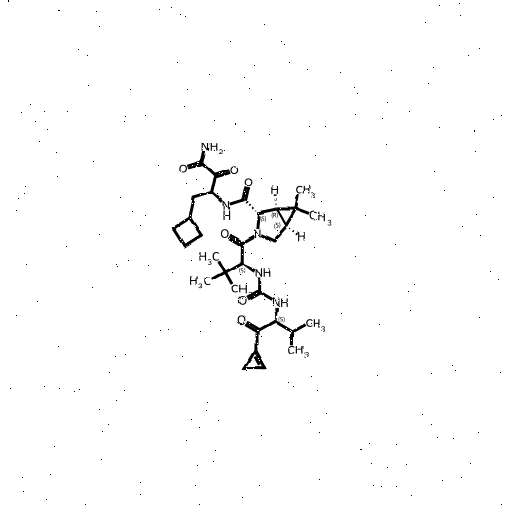 CC(C)[C@H](NC(=O)N[C@H](C(=O)N1C[C@H]2[C@@H]([C@H]1C(=O)NC(CC1CCC1)C(=O)C(N)=O)C2(C)C)C(C)(C)C)C(=O)C1=CC1